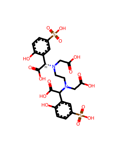 O=C(O)CN(CCN(CC(=O)O)[C@H](C(=O)O)c1cc(S(=O)(=O)O)ccc1O)C(C(=O)O)c1cc(S(=O)(=O)O)ccc1O